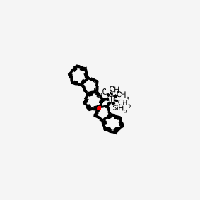 [CH3][Ti]([CH3])([CH3])([CH3])(=[SiH2])([c]1cccc2c1Cc1ccccc1-2)[CH]1C=Cc2ccccc21